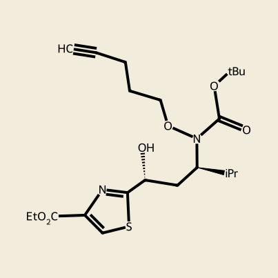 C#CCCCON(C(=O)OC(C)(C)C)[C@H](C[C@@H](O)c1nc(C(=O)OCC)cs1)C(C)C